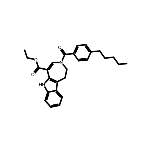 CCCCCc1ccc(C(=O)N2C=C(C(=O)OCC)c3[nH]c4ccccc4c3CC2)cc1